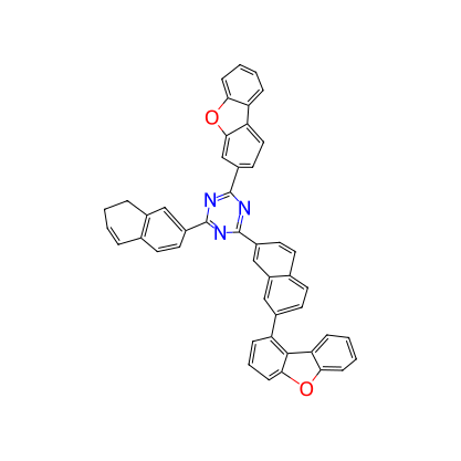 C1=Cc2ccc(-c3nc(-c4ccc5ccc(-c6cccc7oc8ccccc8c67)cc5c4)nc(-c4ccc5c(c4)oc4ccccc45)n3)cc2CC1